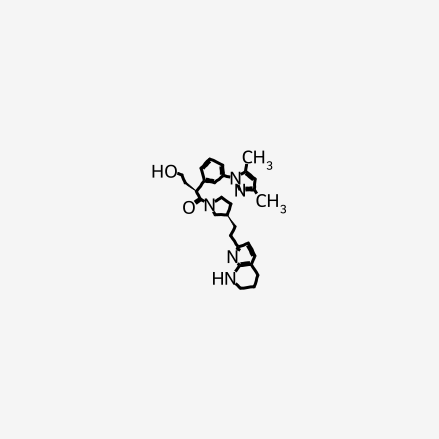 Cc1cc(C)n(-c2cccc([C@H](CCO)C(=O)N3CC[C@@H](CCc4ccc5c(n4)NCCC5)C3)c2)n1